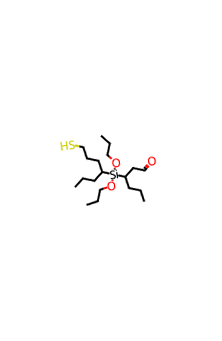 CCCO[Si](OCCC)(C(CC=O)CCC)C(CCC)CCCS